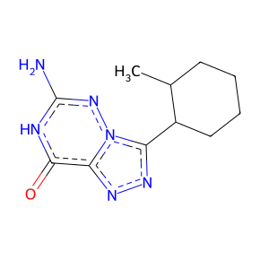 CC1CCCCC1c1nnc2c(=O)[nH]c(N)nn12